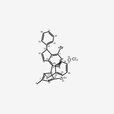 CC1=C2C(c3ccc(Br)c4c3C=CC4c3ccccc3)[C]([Zr+2])=C1P2c1ccccc1.[Cl-].[Cl-]